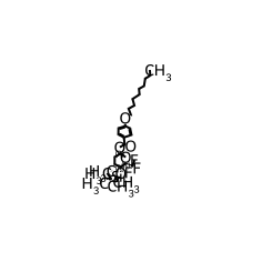 CCCCCCCCCCOc1ccc(C(=O)O[C@@H]2CC[C@@H](O[Si](C)(C)C(C)(C)C)[C@H](C(F)(F)F)O2)cc1